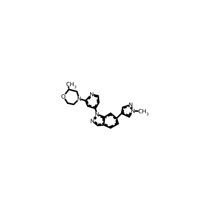 C[C@H]1CN(c2cc(-n3ncc4ccc(-c5cnn(C)c5)cc43)ccn2)CCO1